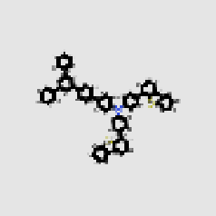 c1ccc(-c2cc(-c3ccccc3)cc(-c3ccc(-c4ccc(N(c5ccc(-c6cccc7c6sc6ccccc67)cc5)c5ccc(-c6cccc7c6sc6ccccc67)cc5)cc4)cc3)c2)cc1